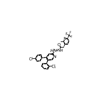 Cc1nc(C(F)(F)F)ccc1CC(=O)NNc1cc(-c2ccc(Cl)cc2)c(-c2ccccc2Cl)cn1